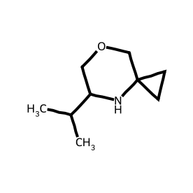 CC(C)C1COCC2(CC2)N1